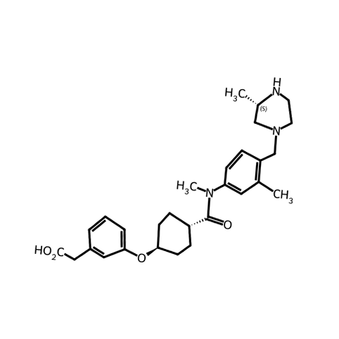 Cc1cc(N(C)C(=O)[C@H]2CC[C@H](Oc3cccc(CC(=O)O)c3)CC2)ccc1CN1CCN[C@@H](C)C1